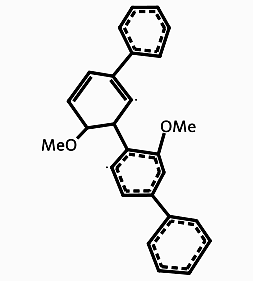 COc1cc(-c2ccccc2)c[c]c1C1[C]=C(c2ccccc2)C=CC1OC